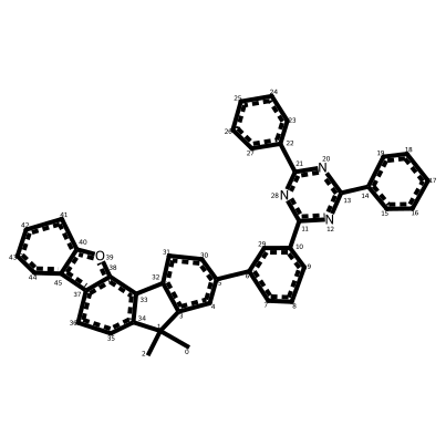 CC1(C)c2cc(-c3cccc(-c4nc(-c5ccccc5)nc(-c5ccccc5)n4)c3)ccc2-c2c1ccc1c2oc2ccccc21